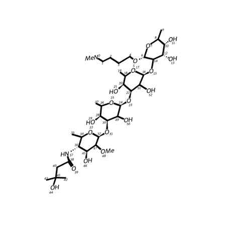 CNCCCCO[C@@H]1OC(C)[C@H](O)[C@H](O)C1O[C@@H]1OC(C)[C@H](O)[C@H](O[C@@H]2OC(C)[C@H](O)[C@H](O[C@@H]3OC(C)[C@@H](NC(=O)CC(C)(C)O)[C@H](O)C3OC)C2O)C1O